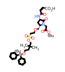 CC(C)(CCO[Si](c1ccccc1)(c1ccccc1)C(C)(C)C)COS(=O)(=O)CCOC[C@@H]1C[C@H](NC(=O)/C=C\C(=O)O)C(=O)N1CC(=O)OC(C)(C)C